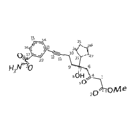 COC(=O)CC(=O)CC(O)(CCC#Cc1cccc(S(N)(=O)=O)c1)C1CCCC1